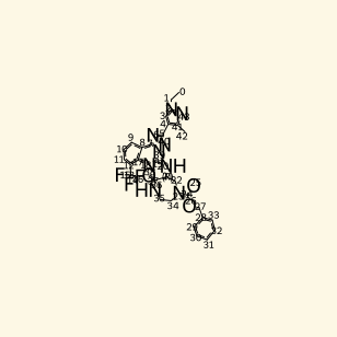 CCn1cc(-c2nc3c4cccc(C(F)(F)F)c4nc(N[C@@H]4CN(C(=O)OCc5ccccc5)CCNC4=O)n3n2)c(C)n1